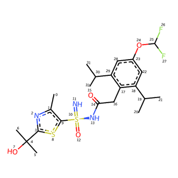 Cc1nc(C(C)(C)O)sc1[S@](=N)(=O)NC(=O)Cc1c(C(C)C)cc(OC(F)F)cc1C(C)C